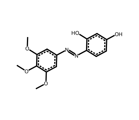 COc1cc(/N=N/c2ccc(O)cc2O)cc(OC)c1OC